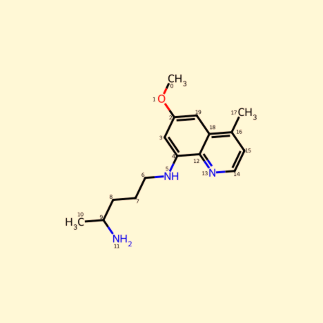 COc1cc(NCCCC(C)N)c2nccc(C)c2c1